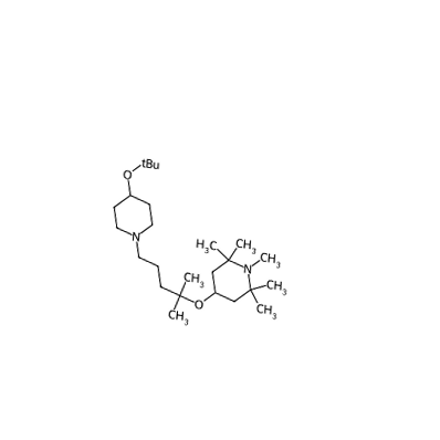 CN1C(C)(C)CC(OC(C)(C)CCCN2CCC(OC(C)(C)C)CC2)CC1(C)C